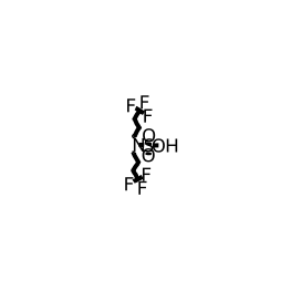 O=S(=O)(O)N(CCCC(F)(F)F)CCCC(F)(F)F